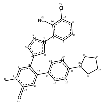 Cn1cc(-c2cnn(-c3cccc(Cl)c3C#N)c2)c(-c2cnc(N3CCCC3)nc2)cc1=O